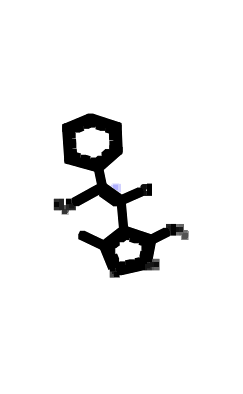 Cc1n[nH]c(N)c1/C(Cl)=C(\N)c1ccccc1